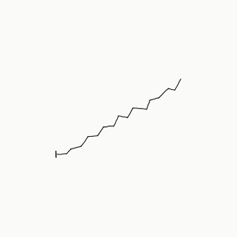 CCCCCCCCCCCCCCCCI